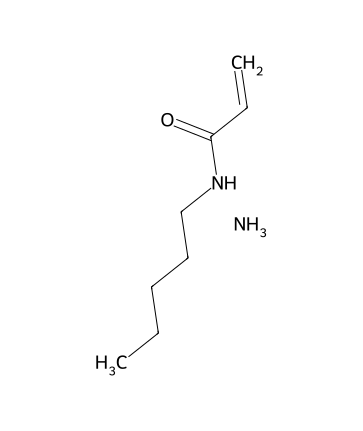 C=CC(=O)NCCCCC.N